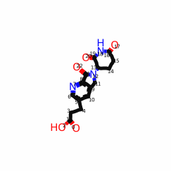 O=C(O)CCc1cnc2c(c1)CN(C1CCC(=O)NC1=O)C2=O